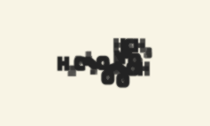 C=CCOC(=O)C(NC(C)=O)C(=O)O